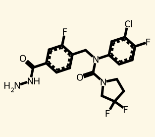 NNC(=O)c1ccc(CN(C(=O)N2CCC(F)(F)C2)c2ccc(F)c(Cl)c2)c(F)c1